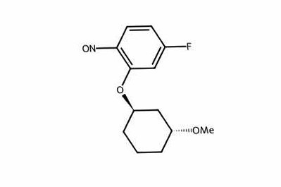 CO[C@@H]1CCC[C@@H](Oc2cc(F)ccc2N=O)C1